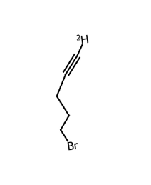 [2H]C#CCCCBr